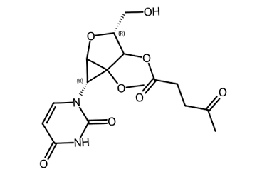 COC12C(OC(=O)CCC(C)=O)[C@@H](CO)OC1[C@H]2n1ccc(=O)[nH]c1=O